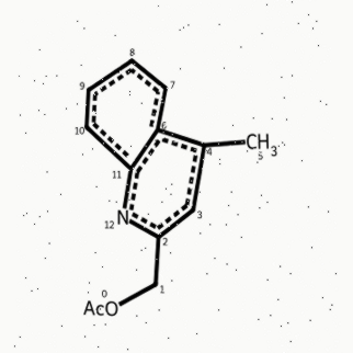 CC(=O)OCc1cc(C)c2ccccc2n1